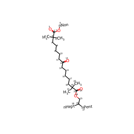 CCCCCCCCCOC(=O)C(C)(C)CCCCCC(=O)CCCCCC(C)(C)C(=O)OCC(CCCCC)CCCCCCC